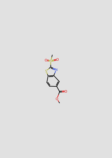 COC(=O)c1ccc2sc(S(C)(=O)=O)nc2c1